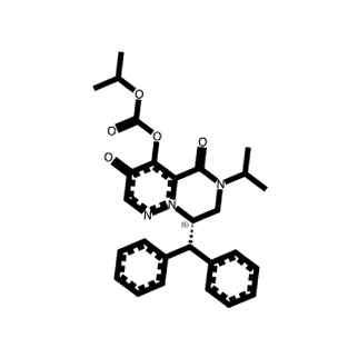 CC(C)OC(=O)Oc1c2n(ncc1=O)[C@@H](C(c1ccccc1)c1ccccc1)CN(C(C)C)C2=O